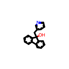 OC1(Cc2cccnc2)c2ccccc2-c2ccccc21